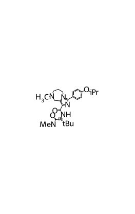 CNC(=O)[C@@H](NC(=O)c1nc(-c2ccc(OC(C)C)cc2)n2c1CN(C)CCC2)C(C)(C)C